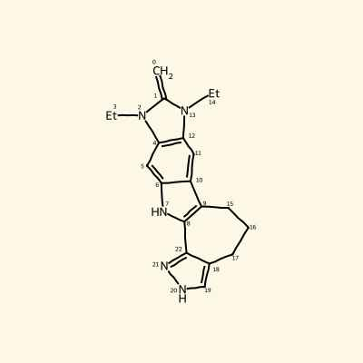 C=C1N(CC)c2cc3[nH]c4c(c3cc2N1CC)CCCc1c[nH]nc1-4